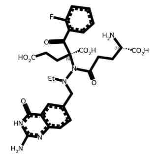 CCN(Cc1ccc2nc(N)[nH]c(=O)c2c1)N(C(=O)CC[C@H](N)C(=O)O)[C@](CCC(=O)O)(C(=O)O)C(=O)c1ccccc1F